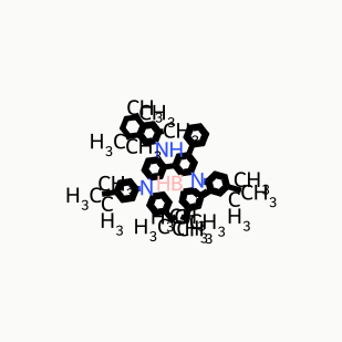 Cc1cc2c(cc1Nc1ccc(N(c3ccc(C(C)(C)C)cc3)c3ccc(C(C)(C)C)cc3)cc1-c1cc(-c3ccccc3)cc3c1Bc1cc(C(C)(C)C)cc4c5cc(C(C)(C)C)ccc5n-3c14)C(C)(C)CCC2(C)C